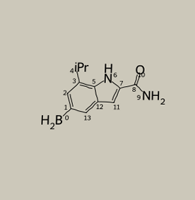 Bc1cc(C(C)C)c2[nH]c(C(N)=O)cc2c1